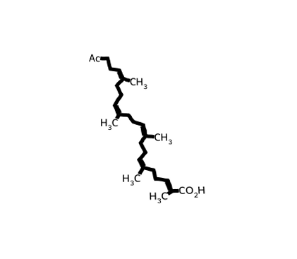 CC(=O)CCC=C(C)CCC=C(C)CCC=C(C)CCC=C(C)CCC=C(C)C(=O)O